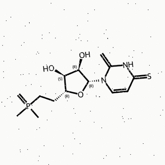 C=C1NC(=S)C=CN1[C@@H]1O[C@H](CCP(=C)(C)C)[C@@H](O)[C@H]1O